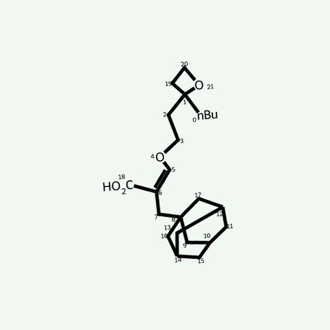 CCCCC1(CCOC=C(CC23CC4CC(CC(C4)C2)C3)C(=O)O)CCO1